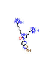 O=C(NCCCCCc1nnn[nH]1)N(CCCCc1nn[nH]n1)c1ccc2nc(S)sc2n1